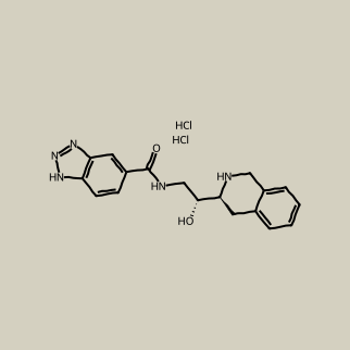 Cl.Cl.O=C(NC[C@@H](O)[C@@H]1Cc2ccccc2CN1)c1ccc2[nH]nnc2c1